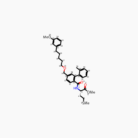 COC(=O)[C@H](CCSC)NC(=O)c1ccc(COCCCCCc2cccc(OC)c2)cc1-c1ccccc1C